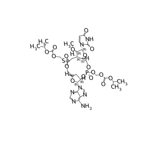 CO[C@@H]1[C@@H]2CP(=O)(SCOC(=O)OC(C)C)OC[C@@H]3C[C@@H](OP(=O)(OCOC(=O)OC(C)C)OC[C@H]2O[C@H]1n1ccc(=O)[nH]c1=O)[C@H](n1cnc2c(N)ncnc21)O3